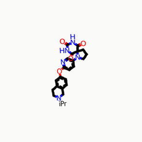 CC(C)N1CCc2cc(Oc3ccc(N4CCCC45C(=O)NC(=O)NC5=O)cn3)ccc2C1